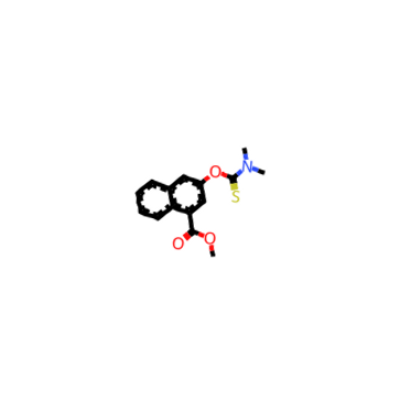 COC(=O)c1cc(OC(=S)N(C)C)cc2ccccc12